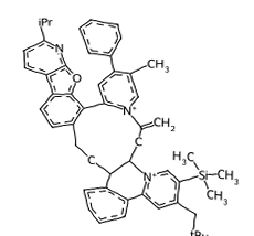 C=C1CC2C(CCc3ccc4c(oc5nc(C(C)C)ccc54)c3-c3cc(-c4ccccc4)c(C)c[n+]31)c1ccccc1-c1cc(CC(C)(C)C)c([Si](C)(C)C)c[n+]12